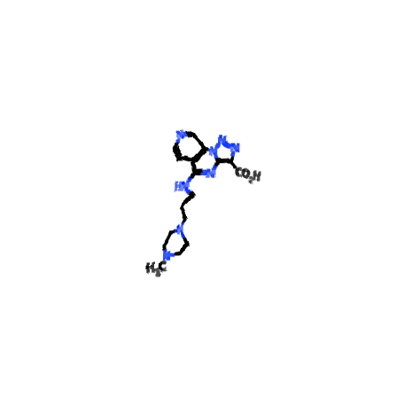 CN1CCN(CCCNc2nc3c(C(=O)O)nnn3c3cnccc23)CC1